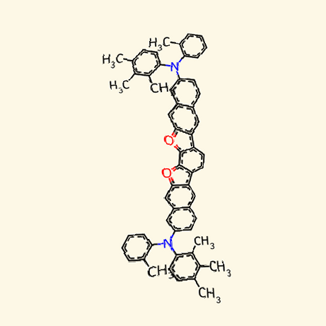 Cc1ccccc1N(c1ccc2cc3c(cc2c1)oc1c3ccc2c3cc4ccc(N(c5ccccc5C)c5ccc(C)c(C)c5C)cc4cc3oc21)c1ccc(C)c(C)c1C